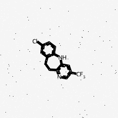 FC(F)(F)c1cnc2c(c1)Nc1ccc(Cl)cc1CC2